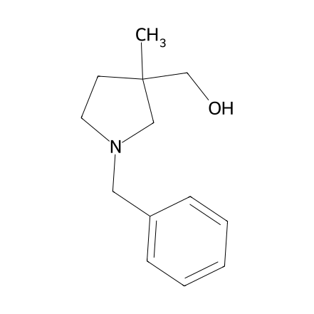 CC1(CO)CCN(Cc2ccccc2)C1